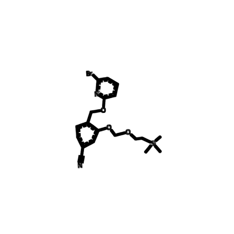 C[Si](C)(C)CCOCOc1cc(C#N)ccc1COc1cccc(Br)n1